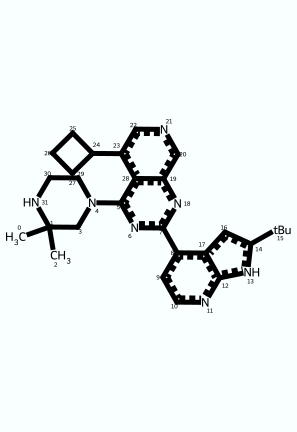 CC1(C)CN(c2nc(-c3ccnc4[nH]c(C(C)(C)C)cc34)nc3cncc(C4CCC4)c23)CCN1